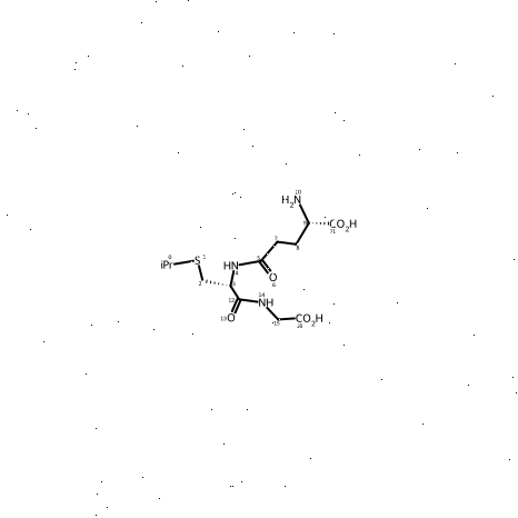 CC(C)SC[C@H](NC(=O)CC[C@H](N)C(=O)O)C(=O)NCC(=O)O